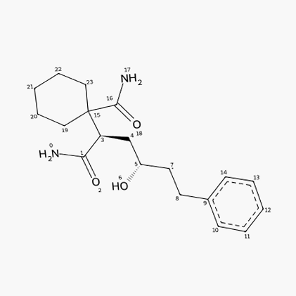 NC(=O)[C@H](C[C@@H](O)[CH]Cc1ccccc1)C1(C(N)=O)CCCCC1